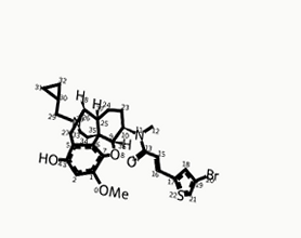 COc1cc(O)c2c3c1O[C@H]1[C@H](N(C)C(=O)/C=C/c4cc(Br)cs4)CC[C@H]4[C@@H](C2)N(CC2CC2)CC[C@@]341